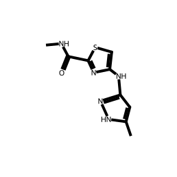 CNC(=O)c1nc(Nc2cc(C)[nH]n2)cs1